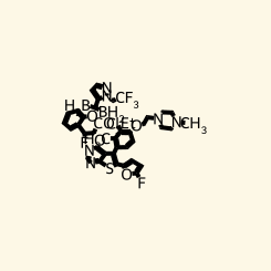 BC(B)(Oc1ccccc1C(F)C(Oc1ncnc2sc(-c3ccc(F)o3)c(-c3ccc(OCCN4CCN(C)CC4)c(Cl)c3C)c12)C(=O)OCC)c1ccnn1CC(F)(F)F